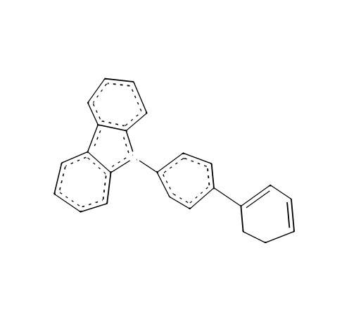 C1=CCCC(c2ccc(-n3c4ccccc4c4ccccc43)cc2)=C1